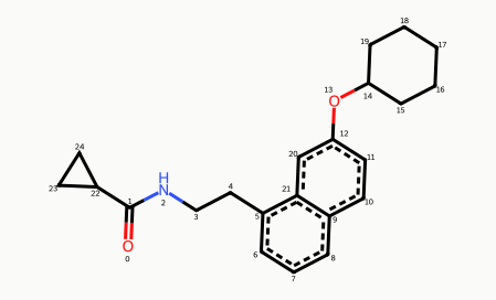 O=C(NCCc1cccc2ccc(OC3CCCCC3)cc12)C1CC1